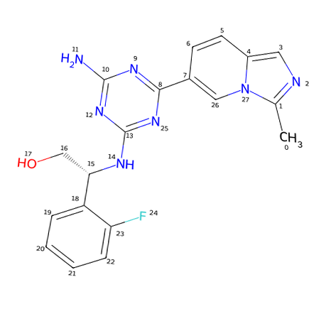 Cc1ncc2ccc(-c3nc(N)nc(N[C@@H](CO)c4ccccc4F)n3)cn12